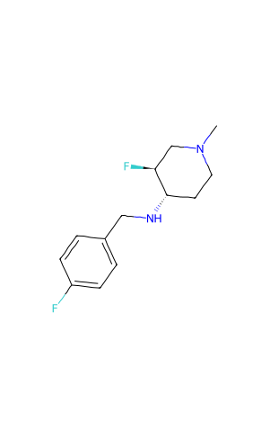 CN1CC[C@H](NCc2ccc(F)cc2)[C@@H](F)C1